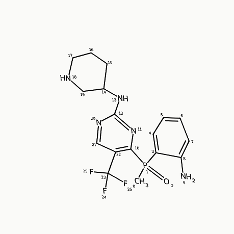 CP(=O)(c1ccccc1N)c1nc(NC2CCCNC2)ncc1C(F)(F)F